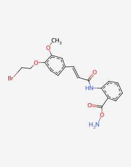 COc1cc(/C=C/C(=O)Nc2ccccc2C(=O)ON)ccc1OCCBr